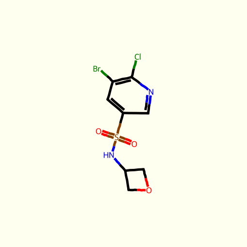 O=S(=O)(NC1COC1)c1cnc(Cl)c(Br)c1